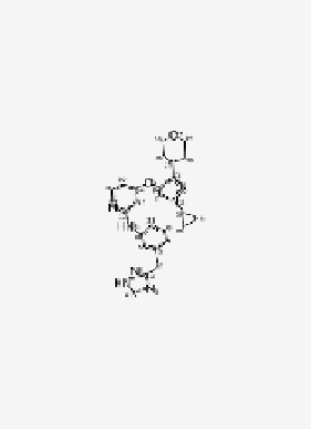 c1cc(Cc2nn[nH]n2)cc(Nc2cc(Oc3cn(C4CC4)nc3C3CCOCC3)ccn2)c1